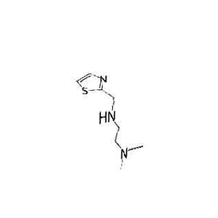 CN(C)CCNCc1nccs1